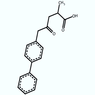 CC(CC(=O)Cc1ccc(-c2ccccc2)cc1)C(=O)O